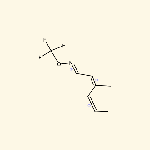 C\C=C/C(C)=C\C=N\OC(F)(F)F